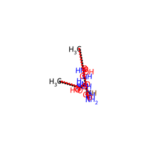 CCCCCCCCCCCCCCCC(=O)NC(CCC(=O)NCCCCC(NC(=O)CCC(NC(=O)CCCCCCCCCCCCCCC)C(=O)O)C(=O)NCCCC[C@H](NS)C(=O)NCC(N)=O)C(=O)O